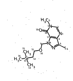 Cn1cnc2c(I)nn(COCC[Si](C)(C)C)c2c1=O